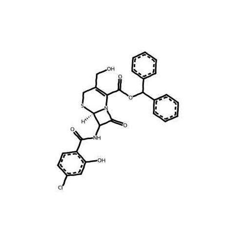 O=C(OC(c1ccccc1)c1ccccc1)C1=C(CO)CS[C@@H]2C(NC(=O)c3ccc(Cl)cc3O)C(=O)N12